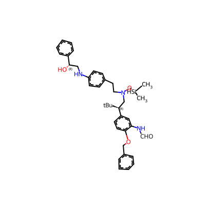 C[SiH](C)ON(CCc1ccc(NC[C@H](O)c2ccccc2)cc1)C[C@@H](c1ccc(OCc2ccccc2)c(NC=O)c1)C(C)(C)C